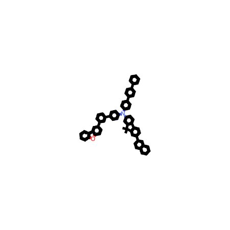 CC1(C)c2cc(-c3ccc4ccccc4c3)ccc2-c2ccc(N(c3ccc(-c4ccc(-c5ccccc5)cc4)cc3)c3ccc(-c4cccc(-c5ccc6oc7ccccc7c6c5)c4)cc3)cc21